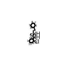 S=C(NCCc1ccccc1)Nc1ccccc1Cl